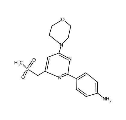 CS(=O)(=O)Cc1cc(N2CCOCC2)nc(-c2ccc(N)cc2)n1